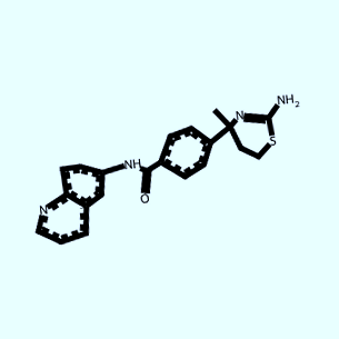 CC1(c2ccc(C(=O)Nc3ccc4ncccc4c3)cc2)CCSC(N)=N1